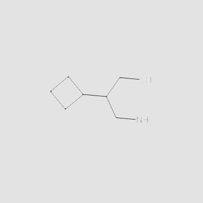 NCC(CS)C1CCC1